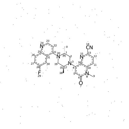 C[C@@H]1CN(c2cc(=O)n(C)c3ccc(C#N)nc23)[C@@H](C)CN1c1ccnc2ccc(F)cc12